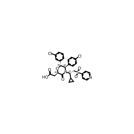 O=C(O)C[C@H]1O[C@H](c2cccc(Cl)c2)[C@@H](c2ccc(Cl)cc2)N([C@H](CS(=O)(=O)c2ccncc2)C2CC2)C1=O